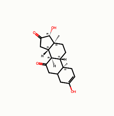 C[C@]12CC[C@H]3[C@@H](C(=O)CC4CC(O)=CC[C@@]43C)[C@@H]1CC(=O)[C@@H]2O